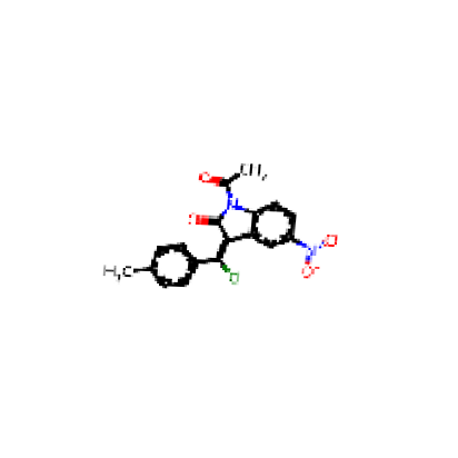 CC(=O)N1C(=O)C(=C(Cl)c2ccc(C)cc2)c2cc([N+](=O)[O-])ccc21